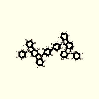 C1=CC2c3c(ccc4c5ccccc5n(-c5ccc(-c6ccc(-n7c8ccccc8c8cc9c(cc87)c7ccccc7n9-c7ccccc7)cc6)cc5)c34)N(c3ccccc3)C2C=C1